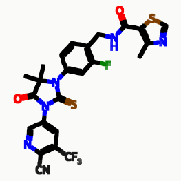 Cc1ncsc1C(=O)NCc1ccc(N2C(=S)N(c3cnc(C#N)c(C(F)(F)F)c3)C(=O)C2(C)C)cc1F